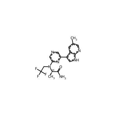 Cc1cnc2[nH]cc(-c3cncc(N(CC(F)(F)F)[C@H](C)C(N)=O)n3)c2c1